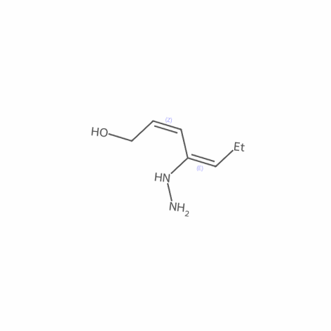 CC/C=C(\C=C/CO)NN